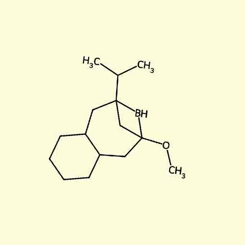 COC12BC(C(C)C)(CC3CCCCC3C1)C2